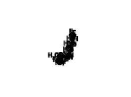 C[C@@H](OC(=O)Nc1c(-c2ccc(NC(=O)C3[C@H]4CC(F)(F)C[C@@H]34)cn2)nnn1C)c1cc(F)cnc1F